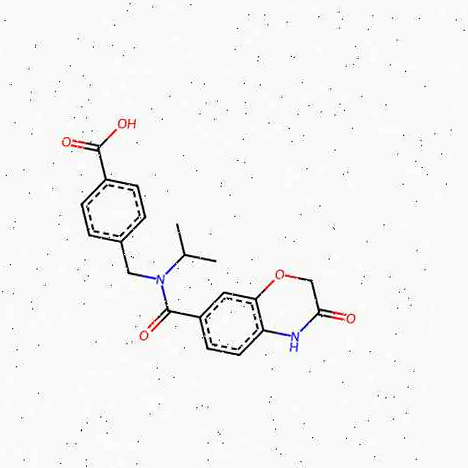 CC(C)N(Cc1ccc(C(=O)O)cc1)C(=O)c1ccc2c(c1)OCC(=O)N2